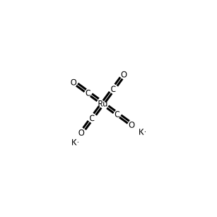 O=[C]=[Ru](=[C]=O)(=[C]=O)=[C]=O.[K].[K]